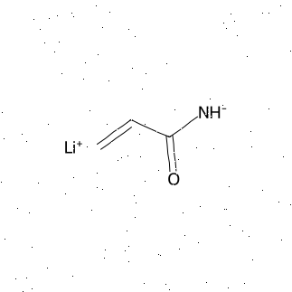 C=CC([NH-])=O.[Li+]